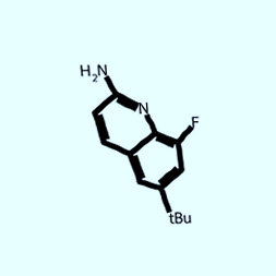 CC(C)(C)c1cc(F)c2nc(N)ccc2c1